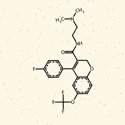 CN(C)CCNC(=O)C1=C(c2ccc(F)cc2)c2cc(OC(F)(F)F)ccc2OC1